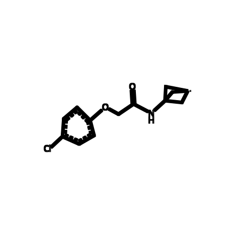 O=C(COc1ccc(Cl)cc1)NC12C[C](C1)C2